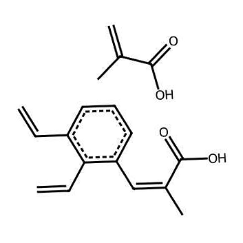 C=C(C)C(=O)O.C=Cc1cccc(C=C(C)C(=O)O)c1C=C